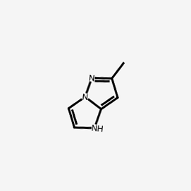 Cc1cc2[nH]ccn2n1